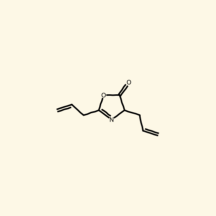 C=CCC1=NC(CC=C)C(=O)O1